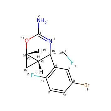 NC1=N[C@@](CF)(c2cc(Br)ccc2F)[C@@H]2C[C@@H]2O1